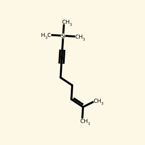 CC(C)=CCCC#C[Si](C)(C)C